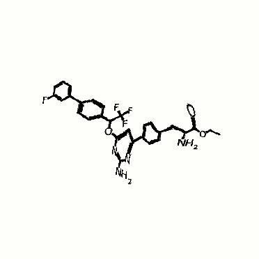 CCOC(=O)[C@@H](N)Cc1ccc(-c2cc(OC(c3ccc(-c4cccc(F)c4)cc3)C(F)(F)F)nc(N)n2)cc1